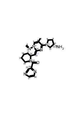 C=NN1C=C(C)C(N2CC[C@H](N)C2)=N/C1=C/C1CCCCN1C(=O)c1cnccn1